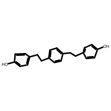 Oc1ccc(CCc2ccc(CCc3ccc(O)cc3)cc2)cc1